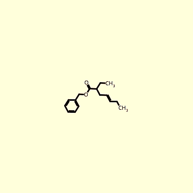 CCC=CCC(CC)C(=O)OCc1ccccc1